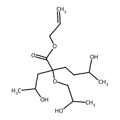 C=CCOC(=O)C(CCC(C)O)(CC(C)O)OCC(C)O